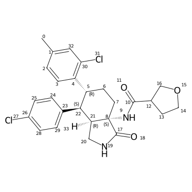 Cc1ccc([C@@H]2CC[C@@]3(NC(=O)C4CCOC4)C(=O)NC[C@H]3[C@H]2c2ccc(Cl)cc2)c(Cl)c1